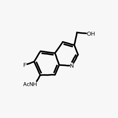 CC(=O)Nc1cc2ncc(CO)cc2cc1F